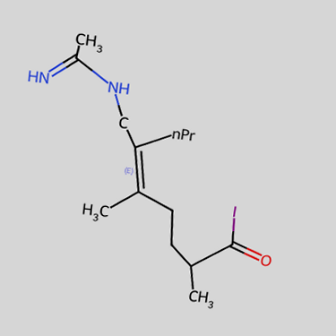 CCC/C(CNC(C)=N)=C(/C)CCC(C)C(=O)I